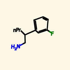 CCCC(CN)c1cccc(F)c1